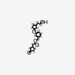 O=C1CCC(CC(=O)OCc2cccc(OC3CCC(CCO)C3)c2)C1